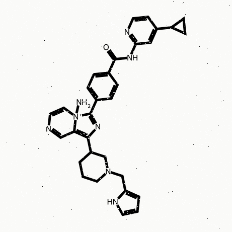 N[N+]12C=CN=CC1=C(C1CCCN(Cc3ccc[nH]3)C1)N=C2c1ccc(C(=O)Nc2cc(C3CC3)ccn2)cc1